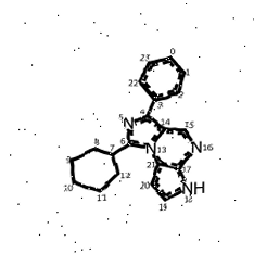 c1ccc(-c2nc(C3CCCCC3)n3c2cnc2[nH]ccc23)cc1